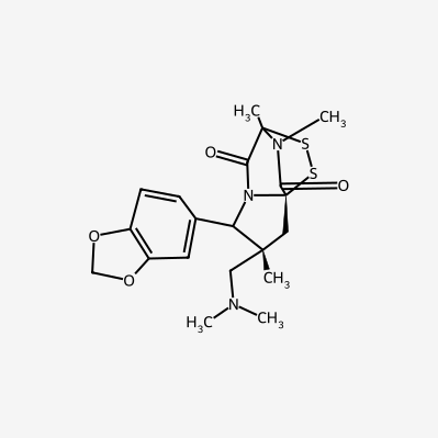 CN(C)C[C@@]1(C)C[C@@]23SSC(C)(C(=O)N2C1c1ccc2c(c1)OCO2)N(C)C3=O